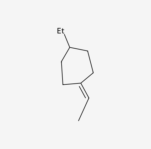 CC=C1CCC(CC)CC1